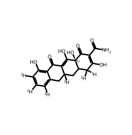 [2H]c1c([2H])c(O)c2c(c1[2H])CC1([2H])CC3C([2H])([2H])C(O)=C(C(N)=O)C(=O)[C@@]3(O)C(O)=C1C2=O